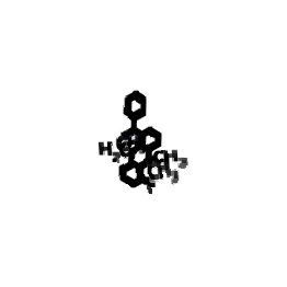 C=C1c2cccc(F)c2C(C)(C)c2cccc(/C(=C\C)c3ccccc3)c21